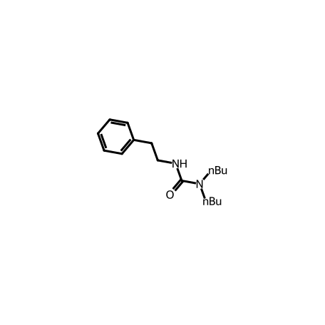 CCCCN(CCCC)C(=O)NCCc1ccccc1